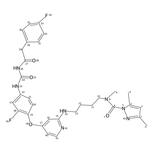 Cc1cc(C)n(C(=O)N(C)CCCCNc2cc(Oc3ccc(NC(=O)NC(=O)Cc4ccc(F)cc4)cc3F)ccn2)n1